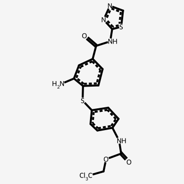 Nc1cc(C(=O)Nc2nncs2)ccc1Sc1ccc(NC(=O)OCC(Cl)(Cl)Cl)cc1